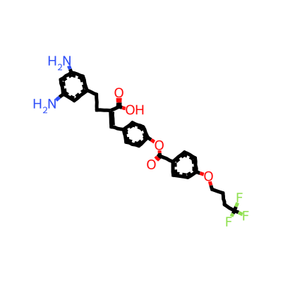 Nc1cc(N)cc(CCC(=Cc2ccc(OC(=O)c3ccc(OCCCC(F)(F)F)cc3)cc2)C(=O)O)c1